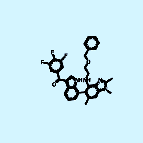 Cc1cc2c(nc(C)n2C)c(NCCOCc2ccccc2)c1-c1cccc2c(C(=O)c3cc(F)c(F)c(F)c3)c[nH]c12